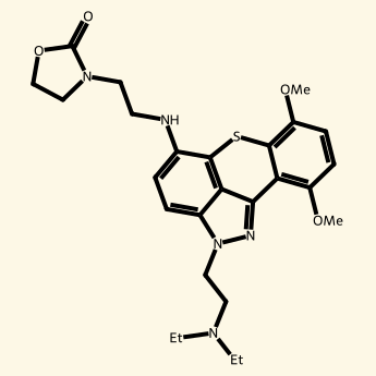 CCN(CC)CCn1nc2c3c(c(NCCN4CCOC4=O)ccc31)Sc1c(OC)ccc(OC)c1-2